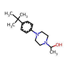 CC(O)N1CCN(c2ccc(C(C)(C)C)cc2)CC1